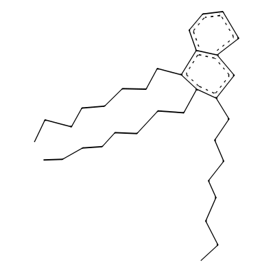 CCCCCCCCc1cc2ccccc2c(CCCCCCCC)c1CCCCCCCC